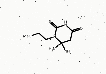 COCCN1C(=S)NC(=O)CC1(N)N